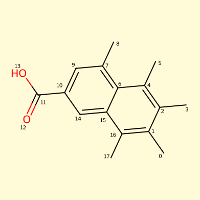 Cc1c(C)c(C)c2c(C)cc(C(=O)O)cc2c1C